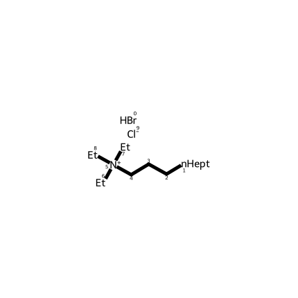 Br.CCCCCCCCCC[N+](CC)(CC)CC.[Cl-]